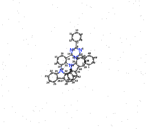 c1ccc(-c2nc(-c3ccccc3)nc(-c3cccc(-n4c5ccccc5c5ccccc54)c3-n3c4ccccc4c4ccccc43)n2)cc1